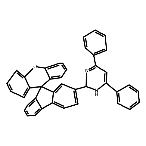 C1=C(c2ccccc2)NC(c2ccc3c(c2)C2(c4ccccc4Oc4ccccc42)c2ccccc2-3)N=C1c1ccccc1